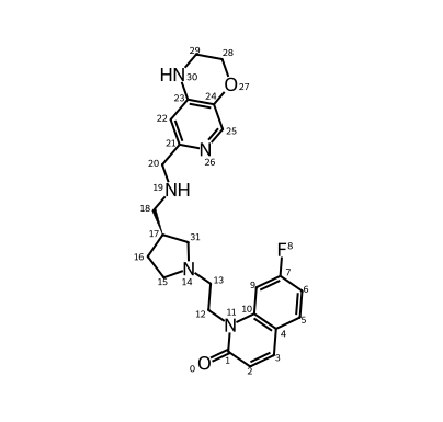 O=c1ccc2ccc(F)cc2n1CCN1CC[C@@H](CNCc2cc3c(cn2)OCCN3)C1